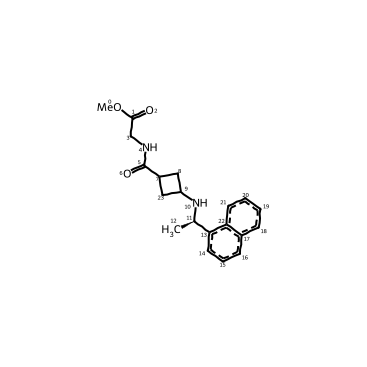 COC(=O)CNC(=O)C1CC(N[C@H](C)c2cccc3ccccc23)C1